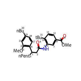 CCCCCC(CC(=O)Nc1cc(C(=O)OC)ccc1C(C)(C)C)c1ccc(CCCC)cc1OC